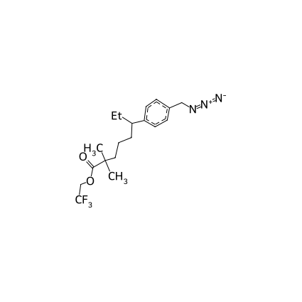 CCC(CCCC(C)(C)C(=O)OCC(F)(F)F)c1ccc(CN=[N+]=[N-])cc1